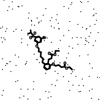 CCOC(=O)CCCOc1cccc(CCCCCCOc2cc(Br)cc(S(=O)(=O)C(C)C)c2)c1CCC(=O)OCC